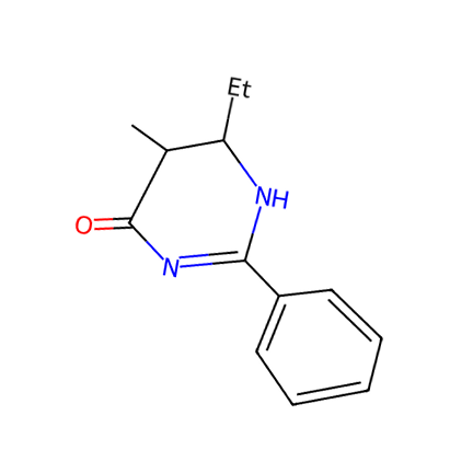 CCC1NC(c2ccccc2)=NC(=O)C1C